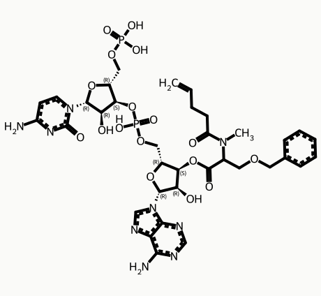 C=CCCC(=O)N(C)C(COCc1ccccc1)C(=O)O[C@H]1[C@@H](O)[C@H](n2cnc3c(N)ncnc32)O[C@@H]1COP(=O)(O)O[C@H]1[C@@H](O)[C@H](n2ccc(N)nc2=O)O[C@@H]1COP(=O)(O)O